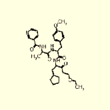 CCOCCC(=O)C(CC1CCCC1)NC(=O)C(Cc1ccc(OC)cc1)NC(=O)C(C)NC(=O)c1cccnc1